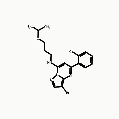 CC(C)OCCCNc1cc(-c2ccccc2Cl)nc2c(Br)cnn12